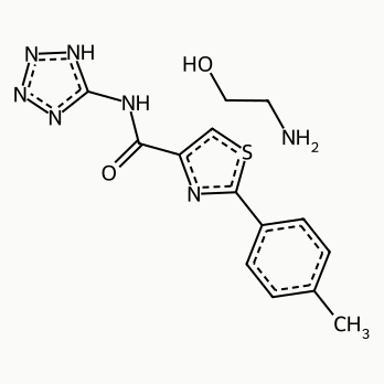 Cc1ccc(-c2nc(C(=O)Nc3nnn[nH]3)cs2)cc1.NCCO